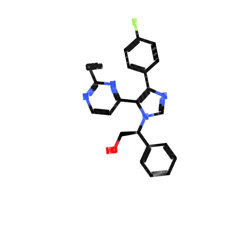 COc1nccc(-c2c(-c3ccc(F)cc3)ncn2[C@H](CO)c2ccccc2)n1